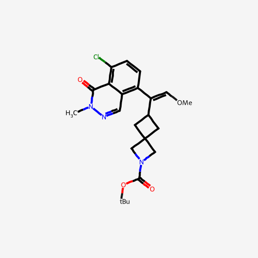 CO/C=C(/c1ccc(Cl)c2c(=O)n(C)ncc12)C1CC2(C1)CN(C(=O)OC(C)(C)C)C2